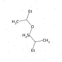 CC[C](C)[SiH2]OC(C)CC